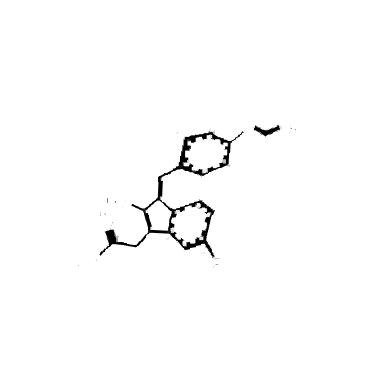 CCOc1ccc(/C=C2/C(C)=C(CC(=O)O)c3cc(F)ccc32)cc1